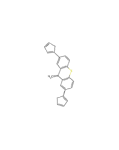 C=C1c2cc(C3=CC=CC3)ccc2Sc2ccc(C3=CC=CC3)cc21